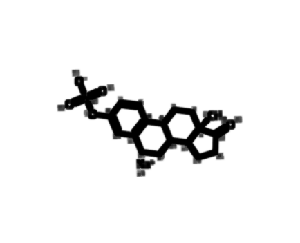 C[C@]12CCC3c4ccc(OS(=O)(=O)[O-])cc4CCC3C1CCC2=O.[Na+]